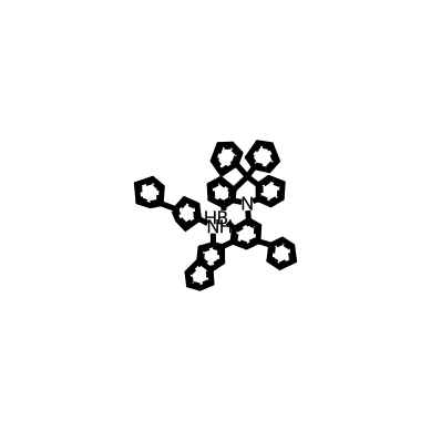 B1c2cccc3c2N(c2ccccc2C3(c2ccccc2)c2ccccc2)c2cc(-c3ccccc3)cc(-c3cc4ccccc4cc3Nc3ccc(-c4ccccc4)cc3)c21